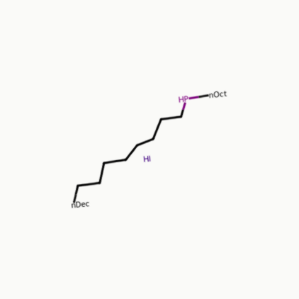 CCCCCCCCCCCCCCCCCCPCCCCCCCC.I